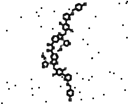 COC[C@H]1COC[C@H]1n1c(Cc2cc(F)c(-c3cccc(OCc4ccc(Cl)cc4)n3)cc2F)nc2ccc(C(=O)OC(=O)c3ccc4nc(Cc5cc(F)c(-c6cccc(OCc7ccc(Cl)cc7)n6)cc5F)n([C@@H]5COC[C@@H]5COC)c4c3)cc21